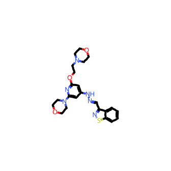 C(=NNc1cc(OCCN2CCOCC2)nc(N2CCOCC2)c1)c1nsc2ccccc12